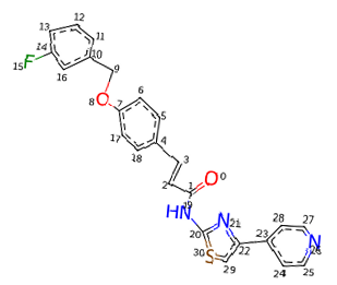 O=C(C=Cc1ccc(OCc2cccc(F)c2)cc1)Nc1nc(-c2ccncc2)cs1